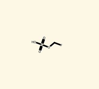 O=S(=O)(O)OCF